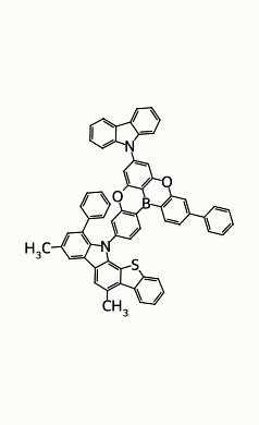 Cc1cc(-c2ccccc2)c2c(c1)c1cc(C)c3c4ccccc4sc3c1n2-c1ccc2c(c1)Oc1cc(-n3c4ccccc4c4ccccc43)cc3c1B2c1ccc(-c2ccccc2)cc1O3